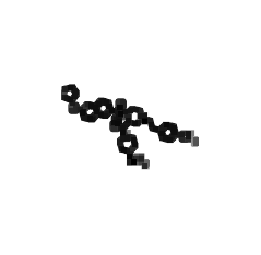 NC1CCN(C(=O)C2CN(CCc3ccc(C(F)(F)F)cc3)CCN2S(=O)(=O)c2ccc3cc(OC4CCCC4)ccc3c2)CC1